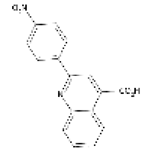 O=C(O)c1cc(-c2ccc([N+](=O)[O-])cc2)nc2ccccc12